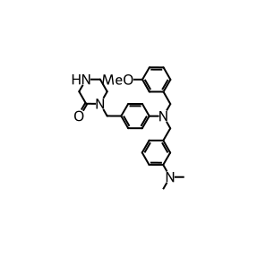 COc1cccc(CN(Cc2cccc(N(C)C)c2)c2ccc(CN3CCNCC3=O)cc2)c1